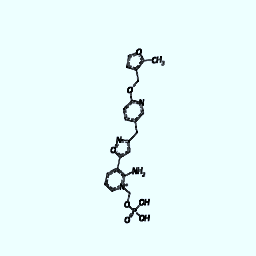 Cc1occc1COc1ccc(Cc2cc(-c3ccc[n+](COP(=O)(O)O)c3N)on2)cn1